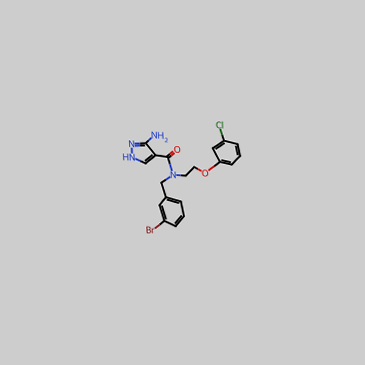 Nc1n[nH]cc1C(=O)N(CCOc1cccc(Cl)c1)Cc1cccc(Br)c1